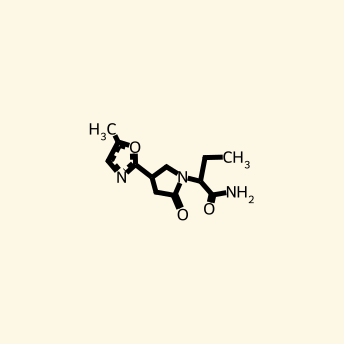 CCC(C(N)=O)N1CC(c2ncc(C)o2)CC1=O